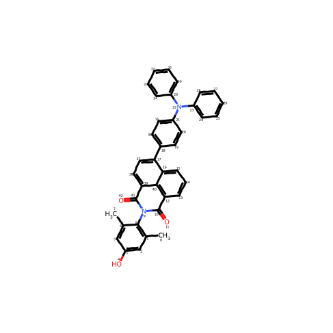 Cc1cc(O)cc(C)c1N1C(=O)c2cccc3c(-c4ccc(N(c5ccccc5)c5ccccc5)cc4)ccc(c23)C1=O